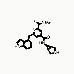 CNC(=O)c1cc(C(=O)NC2C3CNCC32)cc(Cc2cccc3[nH]ccc23)n1